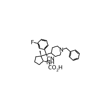 C[C@]1([C@](C#N)(c2cccc(F)c2)C2CCN(Cc3ccccc3)CC2)CCC[C@@H]1NC(=O)O